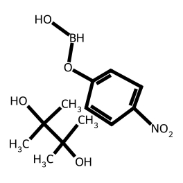 CC(C)(O)C(C)(C)O.O=[N+]([O-])c1ccc(OBO)cc1